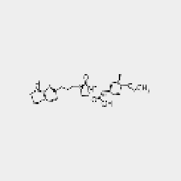 CCOc1ccc([C@@H](CN2CCN(CCCc3ccc4c(n3)NCCC4)C2=O)C(=O)O)cc1F